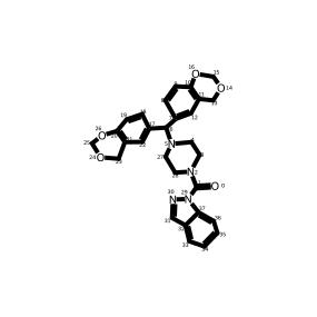 O=C(N1CCN(C(c2ccc3c(c2)COCO3)c2ccc3c(c2)COCO3)CC1)n1ncc2ccccc21